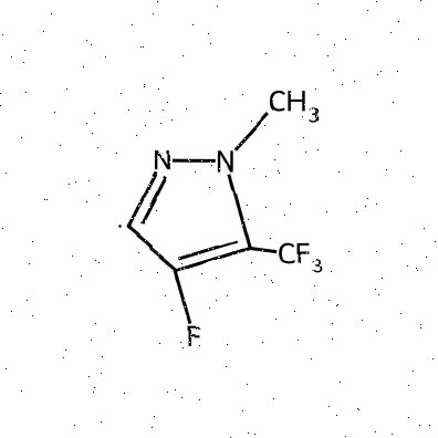 Cn1n[c]c(F)c1C(F)(F)F